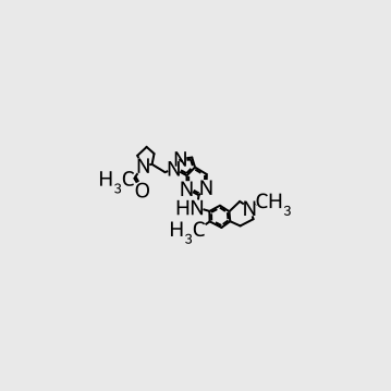 CC(=O)N1CCCC1Cn1ncc2cnc(Nc3cc4c(cc3C)CCN(C)C4)nc21